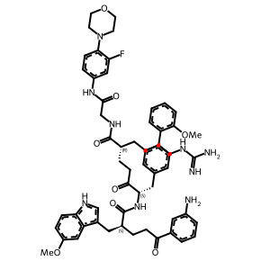 COc1ccc2[nH]cc(C[C@H](CCC(=O)c3cccc(N)c3)C(=O)N[C@@H](Cc3ccc(-c4ccccc4OC)cc3)C(=O)CC[C@@H](CCCCNC(=N)N)C(=O)NCC(=O)Nc3ccc(N4CCOCC4)c(F)c3)c2c1